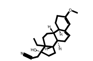 CCC12CC[C@H]3[C@@H](CC=C4C=C(OC)CC[C@@H]43)[C@@H]1CC[C@@]2(O)CC#N